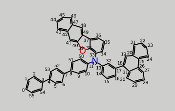 c1ccc(-c2ccc(-c3ccc(N(c4cccc(-c5cc6ccccc6c6ccccc56)c4)c4cccc5c4oc4cc6ccccc6cc45)cc3)cc2)cc1